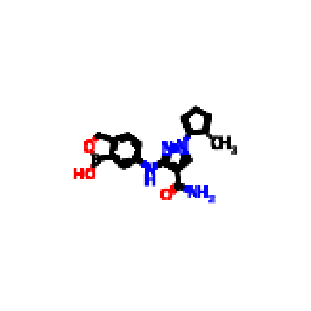 C[C@H]1CCC[C@@H]1n1cc(C(N)=O)c(Nc2ccc3c(c2)B(O)OC3)n1